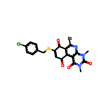 CCc1nc2c(c3c1C(=O)C(SCc1ccc(Cl)cc1)=CC3=O)c(=O)n(C)c(=O)n2C